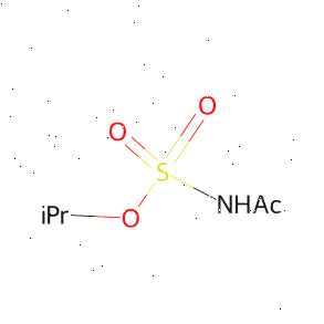 CC(=O)NS(=O)(=O)OC(C)C